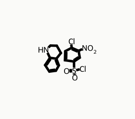 O=[N+]([O-])c1cc(S(=O)(=O)Cl)ccc1Cl.c1ccc2c(c1)CCCN2